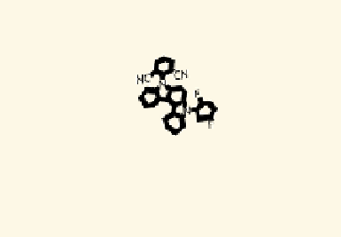 N#Cc1cccc(C#N)c1-n1c2ccccc2c2c3c4ccccc4n(-c4cc(F)ccc4F)c3ccc21